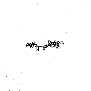 CCc1cc2c(cc1N1CCC(N3CCN(C(=O)CCCCCNc4ccc5c(c4)CN(C4CCC(=O)NC4=O)C5=O)CC3)CC1)C(C)(C)c1[nH]c3cc(C#N)ccc3c1C2=O